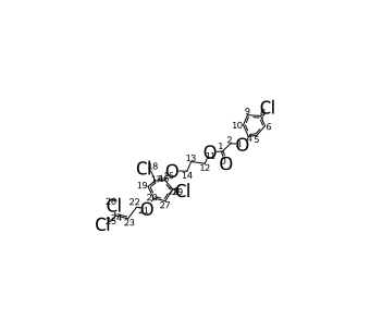 O=C(COc1ccc(Cl)cc1)OCCCOc1c(Cl)cc(OCC=C(Cl)Cl)cc1Cl